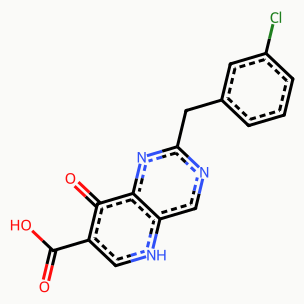 O=C(O)c1c[nH]c2cnc(Cc3cccc(Cl)c3)nc2c1=O